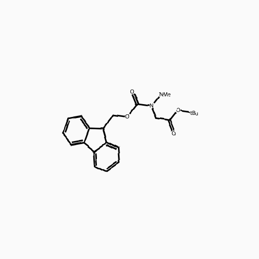 CNN(CC(=O)OC(C)(C)C)C(=O)OCC1c2ccccc2-c2ccccc21